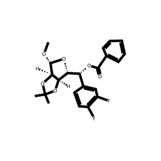 CO[C@@H]1O[C@H]([C@H](OC(=O)c2ccccc2)c2ccc(F)c(F)c2)[C@H]2OC(C)(C)O[C@@H]12